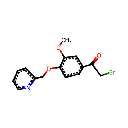 COc1cc(C(=O)CBr)ccc1OCc1ccccn1